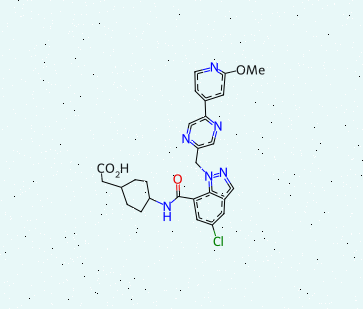 COc1cc(-c2cnc(Cn3ncc4cc(Cl)cc(C(=O)NC5CCC(CC(=O)O)CC5)c43)cn2)ccn1